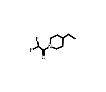 C[CH]C1CCN(C(=O)C(F)F)CC1